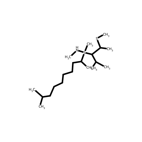 CNS(C)(C(C)CCCCCCC(C)C)C(C(C)C)C(C)SC